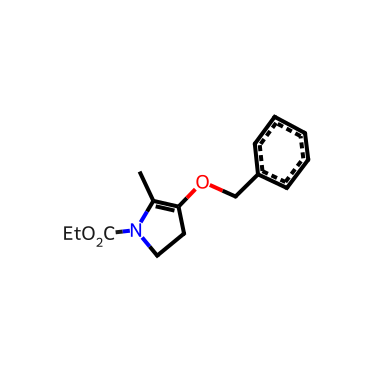 CCOC(=O)N1CCC(OCc2ccccc2)=C1C